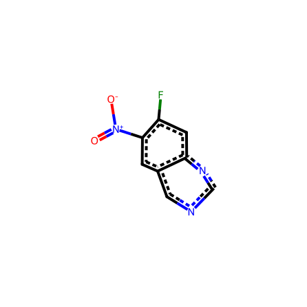 O=[N+]([O-])c1cc2cncnc2cc1F